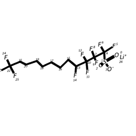 O=S(=O)([O-])C(F)(F)C(F)(F)C(F)(F)C(F)CCCCCCCC(F)(F)F.[Li+]